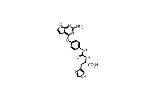 Nc1nc(Oc2ccc(NC(=O)N[C@@H](Cc3c[nH]cn3)C(=O)O)cc2)c2cc[nH]c2n1